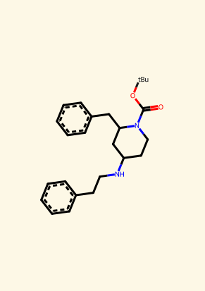 CC(C)(C)OC(=O)N1CCC(NCCc2ccccc2)CC1Cc1ccccc1